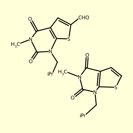 CC(C)Cn1c(=O)n(C)c(=O)c2cc(C=O)sc21.CC(C)Cn1c(=O)n(C)c(=O)c2ccsc21